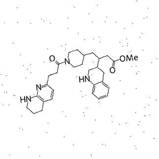 COC(=O)CC(CC1CCN(C(=O)CCc2ccc3c(n2)NCCC3)CC1)C1CNc2ccccc2C1